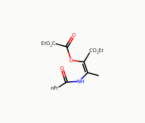 CCCC(=O)NC(C)=C(OC(=O)C(=O)OCC)C(=O)OCC